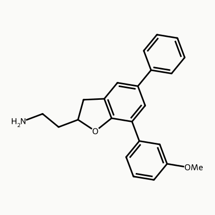 COc1cccc(-c2cc(-c3ccccc3)cc3c2OC(CCN)C3)c1